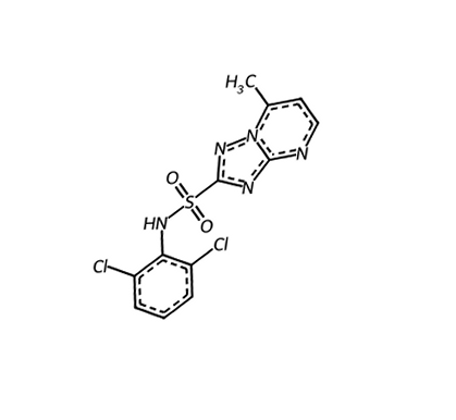 Cc1ccnc2nc(S(=O)(=O)Nc3c(Cl)cccc3Cl)nn12